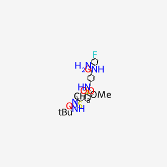 COc1ccc(-c2sc(NC(=O)C(C)(C)C)nc2C)cc1S(=O)(=O)NCc1ccc(C(=O)Nc2ccc(F)cc2N)cc1